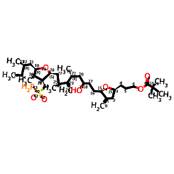 C=C1C[C@H](CCCOC(=O)C(C)(C)C)OC1CCC(O)C[C@@H](C)C(=C)[C@H](C)C[C@@H]1O[C@H](C[C@H](C)CC)[C@H](C)[C@H]1CS(=O)(=O)P